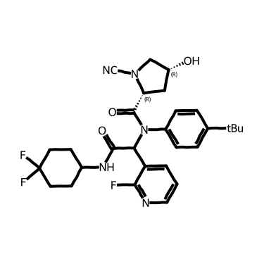 CC(C)(C)c1ccc(N(C(=O)[C@H]2C[C@@H](O)CN2C#N)C(C(=O)NC2CCC(F)(F)CC2)c2cccnc2F)cc1